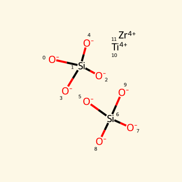 [O-][Si]([O-])([O-])[O-].[O-][Si]([O-])([O-])[O-].[Ti+4].[Zr+4]